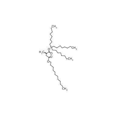 C=C(CC(=O)OCCCCCCCCCCCC)C(=O)O[Si](CCCCCCCC)(CCCCCCCC)CCCCCCCC